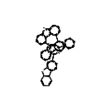 C1=CC2Oc3cc(-c4nc(-c5ccccc5)nc(-c5cccc6oc7cccc(-c8cccc9c8sc8ccccc89)c7c56)n4)ccc3C2C=C1